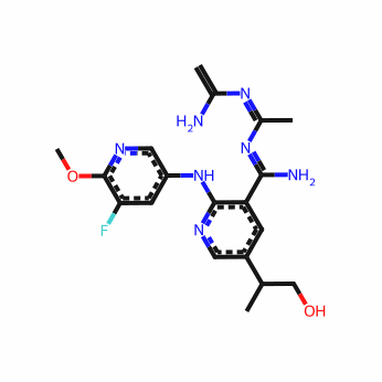 C=C(N)/N=C(C)\N=C(/N)c1cc(C(C)CO)cnc1Nc1cnc(OC)c(F)c1